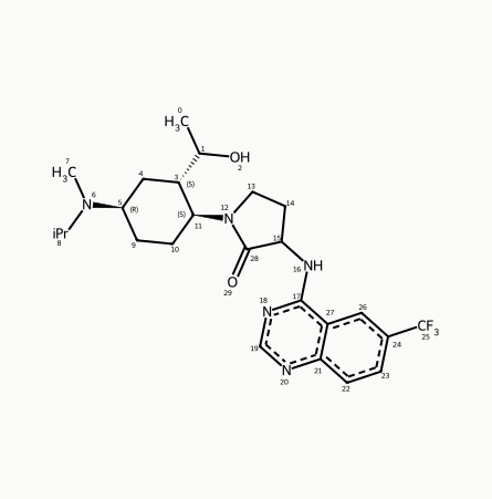 CC(O)[C@H]1C[C@H](N(C)C(C)C)CC[C@@H]1N1CCC(Nc2ncnc3ccc(C(F)(F)F)cc23)C1=O